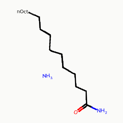 CCCCCCCCCCCCCCCCCC(N)=O.N